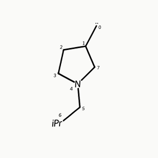 [CH]C1CCN(CC(C)C)C1